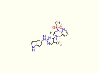 CN(c1ncccc1CNc1nc(Nc2ccc3[nH]ccc3c2)ncc1C(F)(F)F)S(C)(=O)=O